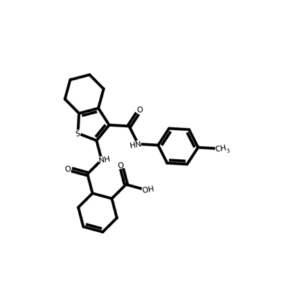 Cc1ccc(NC(=O)c2c(NC(=O)C3CC=CCC3C(=O)O)sc3c2CCCC3)cc1